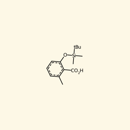 Cc1cccc(O[Si](C)(C)C(C)(C)C)c1C(=O)O